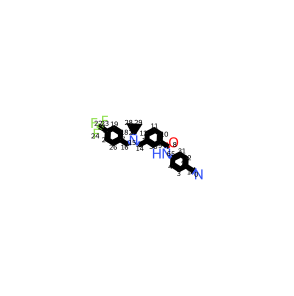 N#Cc1ccc(NC(=O)c2cccc(CN(Cc3ccc(C(F)(F)F)cc3)C3CC3)c2)cc1